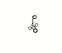 O=C1c2ccccc2C(=O)N1C=CCc1ccsc1